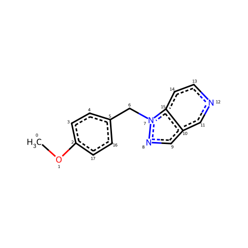 COc1ccc(Cn2ncc3cnccc32)cc1